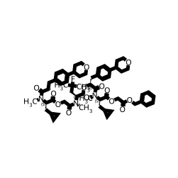 CN(C(=O)[CH]Cc1ccc(C2CCOCC2)cc1)[C@@H](CC1CC1)C(=O)OCC(=O)N(C)[C@@H](CC(C)(C)F)C(=O)O[C@H](Cc1ccc(C2CCOCC2)cc1)C(=O)N(C)[C@@H](CC1CC1)C(=O)OCC(=O)OCc1ccccc1